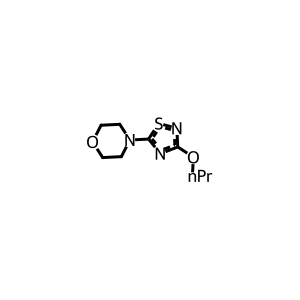 CCCOc1nsc(N2CCOCC2)n1